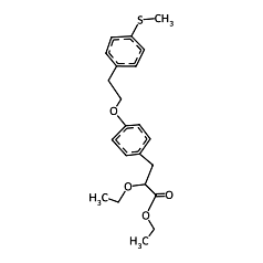 CCOC(=O)C(Cc1ccc(OCCc2ccc(SC)cc2)cc1)OCC